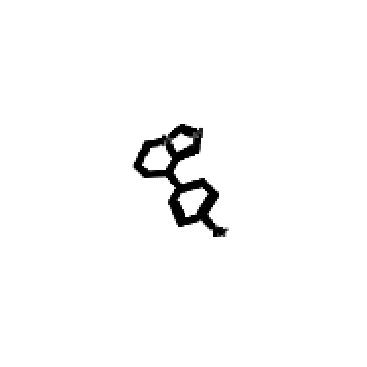 Brc1ccc(C2CCCn3cncc32)cc1